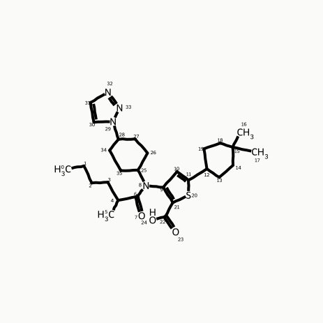 CCCCC(C)C(=O)N(c1cc(C2CCC(C)(C)CC2)sc1C(=O)O)C1CCC(n2ccnn2)CC1